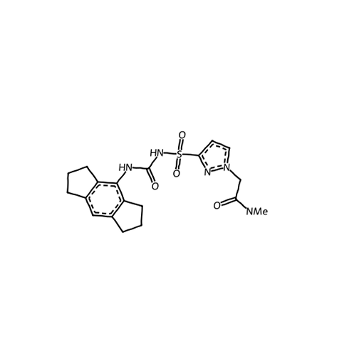 CNC(=O)Cn1ccc(S(=O)(=O)NC(=O)Nc2c3c(cc4c2CCC4)CCC3)n1